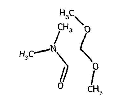 CN(C)C=O.COCOC